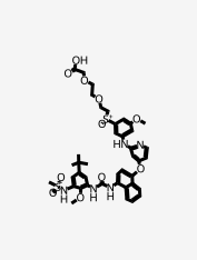 COc1cc(Nc2cc(Oc3ccc(NC(=O)Nc4cc(C(C)(C)C)cc(NS(C)(=O)=O)c4OC)c4ccccc34)ccn2)cc([S+]([O-])CCOCCOCC(=O)O)c1